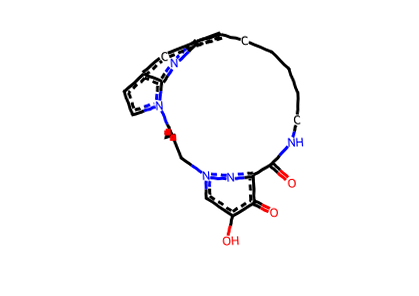 O=C1NCCCCCc2cnc3c(ccn3C3(CCCC3)Cn3cc(O)c(=O)c1n3)c2